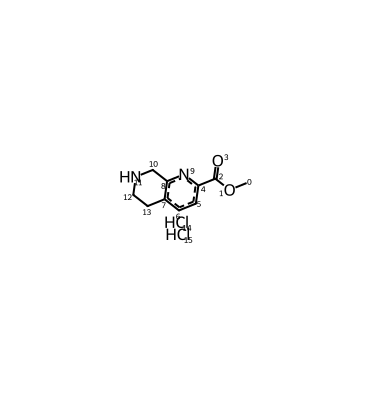 COC(=O)c1ccc2c(n1)CNCC2.Cl.Cl